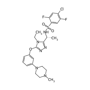 CCn1c(Oc2cccc(N3CCN(C)CC3)c2)nnc1[C@@H](C)NS(=O)(=O)c1cc(F)c(Cl)cc1F